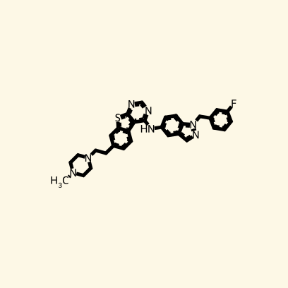 CN1CCN(CCc2ccc3c(c2)sc2ncnc(Nc4ccc5c(cnn5Cc5cccc(F)c5)c4)c23)CC1